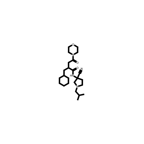 CC(C)CN1CCC(C#N)(NC(=O)C(CC(=O)N2CCOCC2)CC2CCCCC2)C1